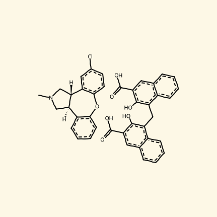 CN1C[C@@H]2c3ccccc3Oc3ccc(Cl)cc3[C@H]2C1.O=C(O)c1cc2ccccc2c(Cc2c(O)c(C(=O)O)cc3ccccc23)c1O